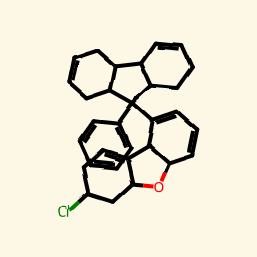 ClC1CC=C2C(C1)OC1C=CC=C(C3(c4ccccc4)C4CCC=CC4C4CC=CCC43)C21